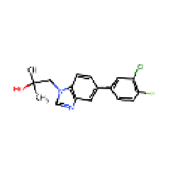 CC(C)(O)Cn1cnc2cc(-c3ccc(F)c(Cl)c3)ccc21